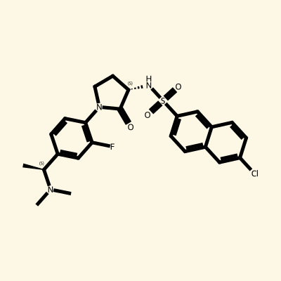 C[C@@H](c1ccc(N2CC[C@H](NS(=O)(=O)c3ccc4cc(Cl)ccc4c3)C2=O)c(F)c1)N(C)C